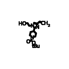 C=Cc1cn(CCO)c(C2CCN(C(=O)OC(C)(C)C)CC2)n1